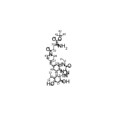 CCNC(=O)c1nnc(-c2cc(C(C)C)c(O)cc2O)n1-c1ccc(CC2CCN(C(=O)CC[C@H](N)C(=O)OC(C)(C)C)CC2)cc1